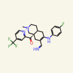 CN1CCC2CC(Nc3ccc(F)cc3)=C(C=N)C[C@]2(C(=O)c2cc(C(F)(F)F)ccn2)C1